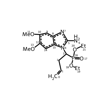 C=CCC(n1c(N)nc2cc(OC)c(OC)cc21)P(=O)(OCC)OCC